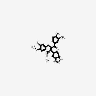 COc1ccc(C/C(C(=O)c2ccc(C)c(C)c2)=C(\C(=O)[O-])c2ccc3nsnc3c2)cc1F.[Na+]